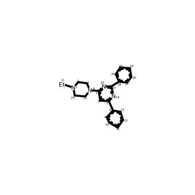 CCN1CCN(c2cc(-c3ccccc3)nc(-c3ccccc3)n2)CC1